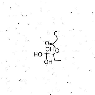 CCC(OC(=O)CCl)C(O)(O)O